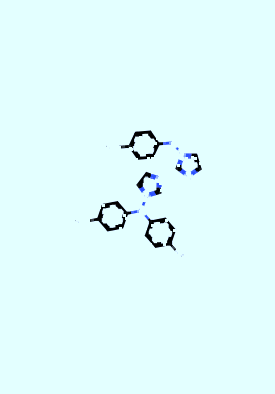 N#Cc1ccc(N(c2ccc([N+](=O)[O-])cc2)n2ccnc2)cc1.N#Cc1ccc(Nn2ccnc2)cc1